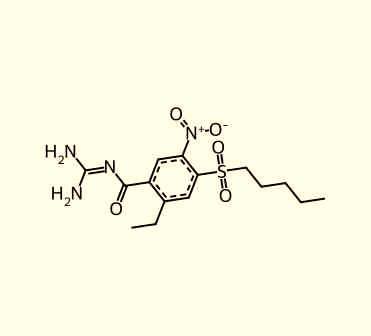 CCCCCS(=O)(=O)c1cc(CC)c(C(=O)N=C(N)N)cc1[N+](=O)[O-]